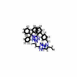 CCCc1nc2cc(CC)n(Cc3ccc(-c4ccccc4-c4nnnn4C(c4ccccc4)(c4ccccc4)c4ccccc4)cc3)n2n1